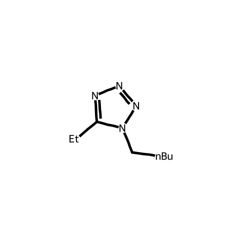 CCCCCn1nnnc1CC